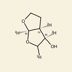 [2H]C1O[C@@]2([2H])OCC[C@@]2([2H])[C@@]1([2H])O